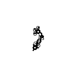 COc1cc(Cc2csc(N3CCN(S(=O)(=O)c4c(C)cc(C)cc4C)CC3)n2)cc(OC)c1OC